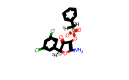 [2H]C([2H])(c1ccccc1)S(=O)(=O)OC1=C(N)O[C@@]([2H])(c2cc(Cl)cc(Cl)c2)C1=O